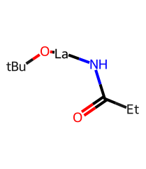 CCC(=O)[NH][La][O]C(C)(C)C